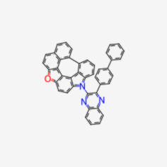 c1ccc(-c2ccc(-c3nc4ccccc4nc3-n3c4cccc5c4c4c6c(ccc43)oc3ccc4cccc-5c4c36)cc2)cc1